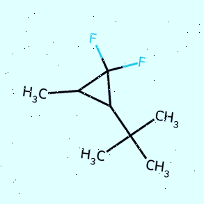 CC1C(C(C)(C)C)C1(F)F